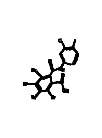 Cc1ccc(NC(=O)c2c(Br)c(Br)c(Br)c(Br)c2C(=O)O)cc1Cl